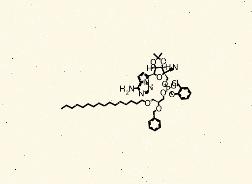 CCCCCCCCCCCCCCCCOC[C@@H](COP(=O)(OC[C@@]1(C#N)O[C@@H](c2ccc3c(N)ncnn23)[C@@H]2OC(C)(C)O[C@@H]21)Oc1ccccc1Cl)OCc1ccccc1